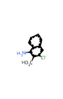 Nc1c(C(=O)O)c(Cl)cc2ccccc12